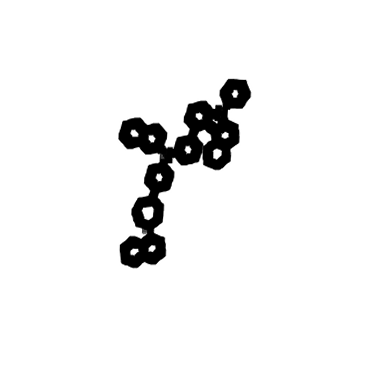 C1=C[C@H](c2cccc3ccccc23)C=CC(c2ccc(N(c3cccc(-c4cccc5c4c4c6c(ccc4n5-c4ccccc4)CCC=C6)c3)c3ccc4ccccc4c3)cc2)=C1